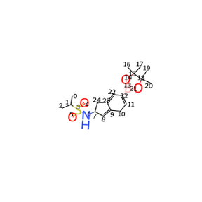 CC(C)S(=O)(=O)NC1C=C2CC=C(B3OC(C)(C)C(C)(C)O3)C=C2C1